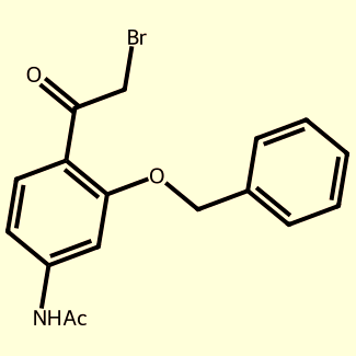 CC(=O)Nc1ccc(C(=O)CBr)c(OCc2ccccc2)c1